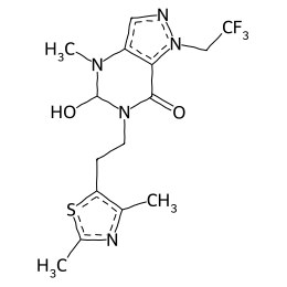 Cc1nc(C)c(CCN2C(=O)c3c(cnn3CC(F)(F)F)N(C)C2O)s1